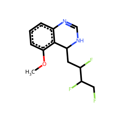 COc1cccc2c1C(CC(F)C(F)CF)NC=N2